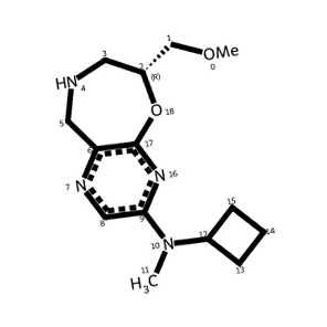 COC[C@H]1CNCc2ncc(N(C)C3CCC3)nc2O1